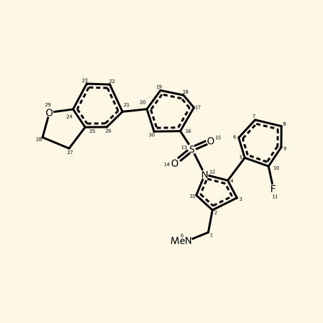 CNCc1cc(-c2ccccc2F)n(S(=O)(=O)c2cccc(-c3ccc4c(c3)CCO4)c2)c1